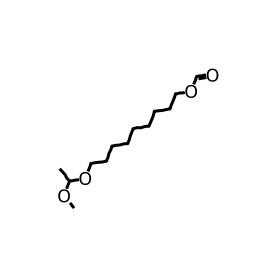 COC(C)OCCCCCCCCCOC=O